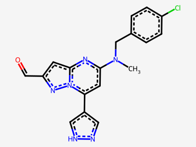 CN(Cc1ccc(Cl)cc1)c1cc(-c2cn[nH]c2)n2nc(C=O)cc2n1